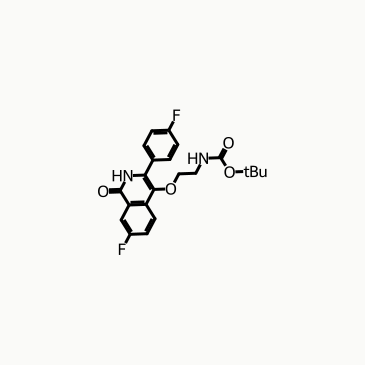 CC(C)(C)OC(=O)NCCOc1c(-c2ccc(F)cc2)[nH]c(=O)c2cc(F)ccc12